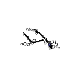 CCCCCCCCCOC(=O)CCCCCCCN(CCCCCCCC(=O)OC(CCCCCCCC)CCCCCCCI)CCCN/C(N)=N/S(C)(=O)=O